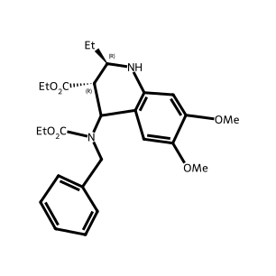 CCOC(=O)[C@H]1C(N(Cc2ccccc2)C(=O)OCC)c2cc(OC)c(OC)cc2N[C@@H]1CC